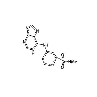 CNS(=O)(=O)c1cccc(Nc2[nH]cnc3ncnc2-3)c1